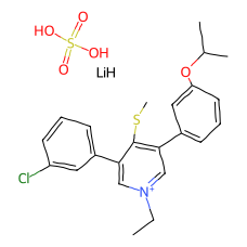 CC[n+]1cc(-c2cccc(Cl)c2)c(SC)c(-c2cccc(OC(C)C)c2)c1.O=S(=O)(O)O.[LiH]